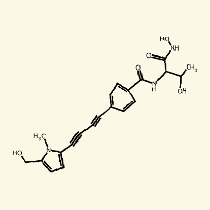 CC(O)C(NC(=O)c1ccc(C#CC#Cc2ccc(CO)n2C)cc1)C(=O)NO